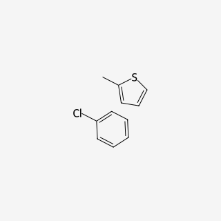 Cc1cccs1.Clc1ccccc1